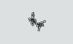 CCOc1ccc(CC(NC(=O)c2ccccc2)C(=O)N[C@H](Cc2ccccc2)C(=O)NC2CCN(C(=NC(=O)OCc3ccccc3)NC(=O)OCc3ccccc3)CC2)cc1